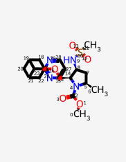 COC(=O)N1[C@H](C)C[C@H](NS(C)(=O)=O)[C@@H]1COC1CC2CC(C1)C2c1ncccn1